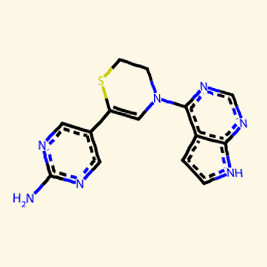 Nc1ncc(C2=CN(c3ncnc4[nH]ccc34)CCS2)cn1